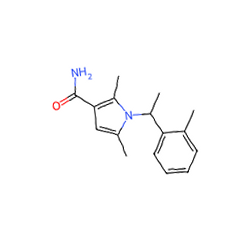 Cc1ccccc1C(C)n1c(C)cc(C(N)=O)c1C